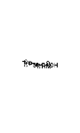 CC(CO)NC(=O)C1CC=C(c2ccc(OCC3CCN(C(=O)OC(C)(C)C)CC3)cn2)CC1